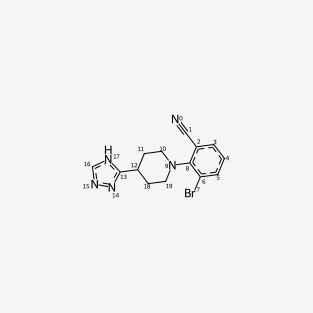 N#Cc1cccc(Br)c1N1CCC(c2nnc[nH]2)CC1